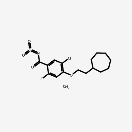 C.O=C(N=S(=O)=O)c1cc(Cl)c(OCCC2CCCCCC2)cc1F